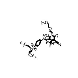 C=CCN(CC=C)S(=O)(=O)c1ccc(/N=N/c2c(C(F)(F)F)c(C#N)c(=O)n(CCOCCO)c2O)cc1